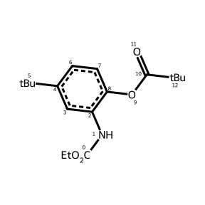 CCOC(=O)Nc1cc(C(C)(C)C)ccc1OC(=O)C(C)(C)C